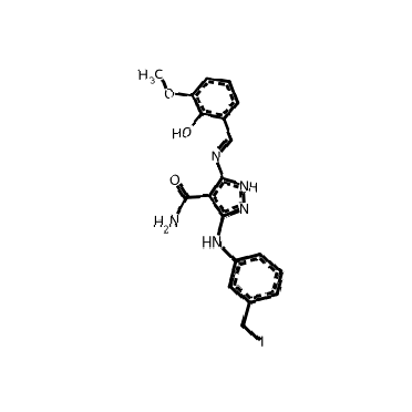 COc1cccc(/C=N/c2[nH]nc(Nc3cccc(CI)c3)c2C(N)=O)c1O